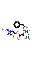 C=C(C)C(=O)OCCN(C)C.C=Cc1ccccc1